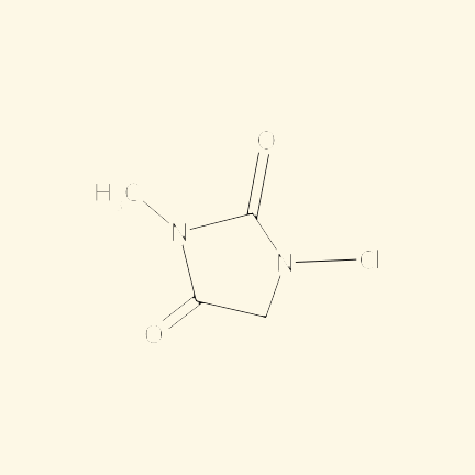 CN1C(=O)CN(Cl)C1=O